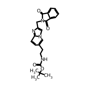 CC(C)(C)OC(=O)NCCc1ccc2nc(CN3C(=O)c4ccccc4C3=O)cn2c1